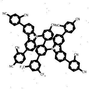 N#Cc1ccc(-c2ccc3c(c2)c2cc(-c4ccc(C#N)cc4C#N)ccc2n3-c2cc(C#N)ccc2-c2ccc(-c3cc(C(F)(F)F)cc(C(F)(F)F)c3)cc2-n2c3ccc(-c4ccc(C#N)cc4C#N)cc3c3cc(-c4ccc(C#N)cc4C#N)ccc32)c(C#N)c1